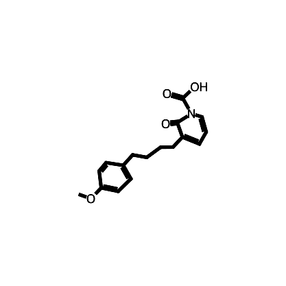 COc1ccc(CCCCc2cccn(C(=O)O)c2=O)cc1